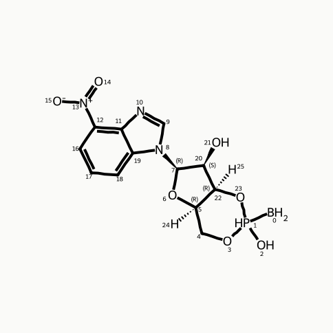 B[PH]1(O)OC[C@H]2O[C@@H](n3cnc4c([N+](=O)[O-])cccc43)[C@@H](O)[C@H]2O1